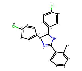 Cc1ccccc1C1=NC(c2ccc(Cl)cc2)C(c2ccc(Cl)cc2)N1